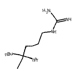 CCCCC(C)(CCC)CCCNC(=N)N